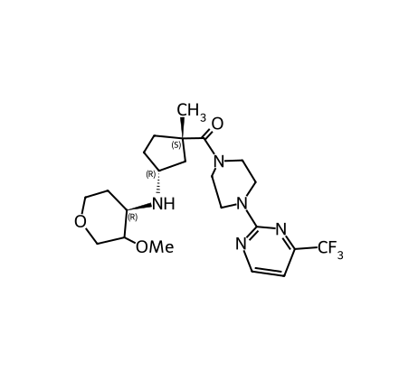 COC1COCC[C@H]1N[C@@H]1CC[C@](C)(C(=O)N2CCN(c3nccc(C(F)(F)F)n3)CC2)C1